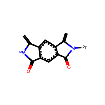 C=C1NC(=O)c2cc3c(cc21)C(=C)N(C(C)C)C3=O